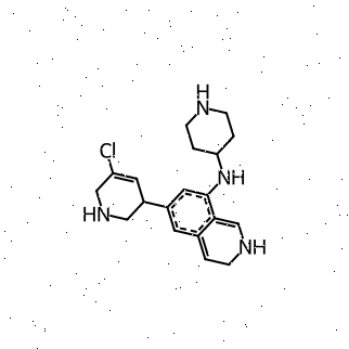 ClC1=CC(c2cc(NC3CCNCC3)c3c(c2)=CCNC=3)CNC1